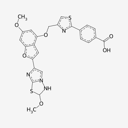 COc1cc(OCc2csc(-c3ccc(C(=O)O)cc3)n2)c2cc(-c3cn4c(n3)SC(OC)N4)oc2c1